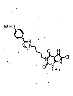 CCCCn1c(=O)n(CCCCn2nnc(-c3ccc(OC)cc3)n2)c(=O)c2[nH]c(Cl)nc21